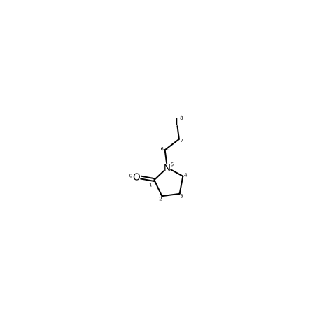 O=C1CCCN1[CH]CI